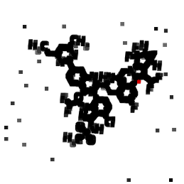 CCc1cc(C)nc(-c2ccc3c(=O)n(-c4ccc(Cl)c5c(NS(C)(=O)=O)nn(CC(F)F)c45)c([C@H](Cc4cc(F)cc(F)c4)NC(=O)Cn4nc(C(F)F)c5c4C(F)(F)[C@@H]4C[C@H]54)nc3c2)n1